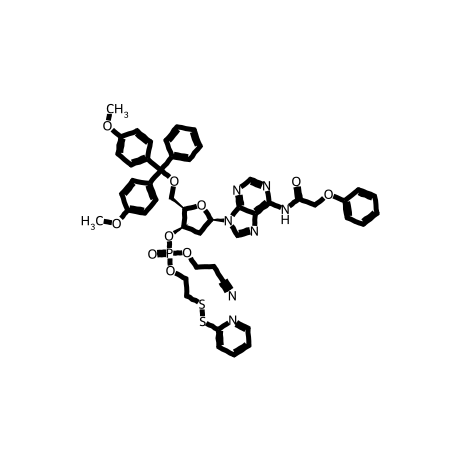 COc1ccc(C(OC[C@H]2O[C@@H](n3cnc4c(NC(=O)COc5ccccc5)ncnc43)C[C@H]2OP(=O)(OCCC#N)OCCSSc2ccccn2)(c2ccccc2)c2ccc(OC)cc2)cc1